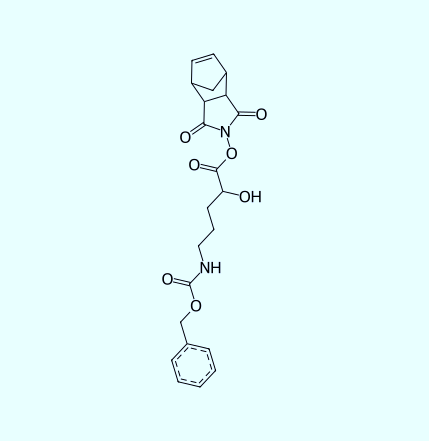 O=C(NCCCC(O)C(=O)ON1C(=O)C2C3C=CC(C3)C2C1=O)OCc1ccccc1